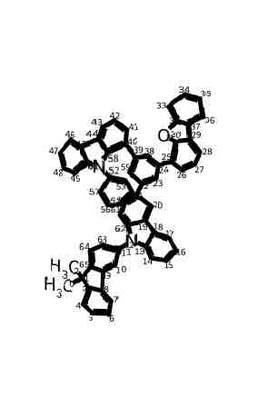 CC1(C)c2ccccc2-c2cc(-n3c4ccccc4c4cc(-c5cc(-c6cccc7c6oc6ccccc67)cc(-c6cccc7c8ccccc8n(-c8ccccc8)c67)c5)ccc43)ccc21